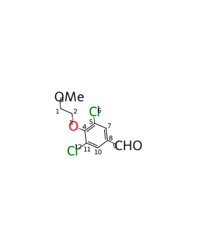 COCCOc1c(Cl)cc(C=O)cc1Cl